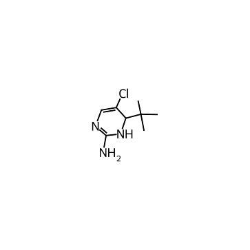 CC(C)(C)C1NC(N)=NC=C1Cl